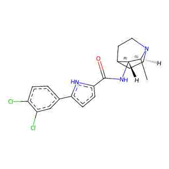 C[C@H]1[C@H](NC(=O)c2ccc(-c3ccc(Cl)c(Cl)c3)[nH]2)C2CCN1CC2